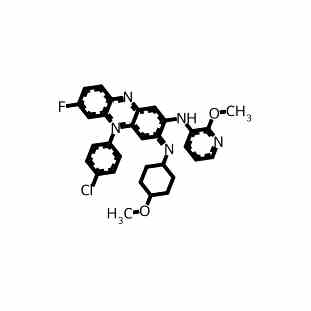 COc1ncccc1Nc1cc2nc3ccc(F)cc3n(-c3ccc(Cl)cc3)c-2cc1=NC1CCC(OC)CC1